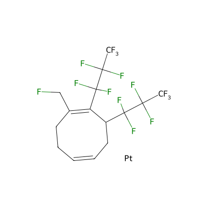 FC/C1=C(\C(F)(F)C(F)(F)C(F)(F)F)C(C(F)(F)C(F)(F)C(F)(F)F)C/C=C\CC1.[Pt]